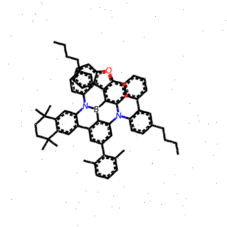 CCCCc1ccc(N2B3c4c(cc(-c5c(C)cccc5C)cc4N(c4ccc(CCCC)cc4-c4ccccc4)c4ccc5oc6ccccc6c5c43)-c3cc4c(cc32)C(C)(C)CCC4(C)C)cc1